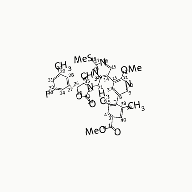 COC(=O)c1cc(C)c(-c2cnc(OC)c(-c3cnc(SC)nc3CN3C(=O)O[C@H](c4cc(C)cc(F)c4)[C@@H]3C)c2)c(C)c1